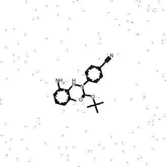 Cc1cccc(N)c1NN(C(=O)OC(C)(C)C)c1ccc(C#N)cc1